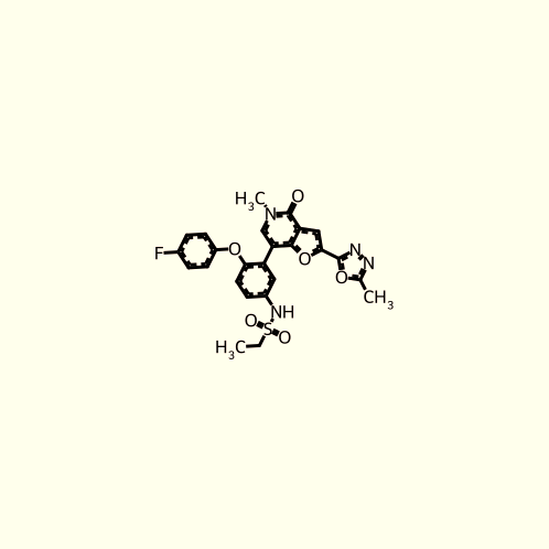 CCS(=O)(=O)Nc1ccc(Oc2ccc(F)cc2)c(-c2cn(C)c(=O)c3cc(-c4nnc(C)o4)oc23)c1